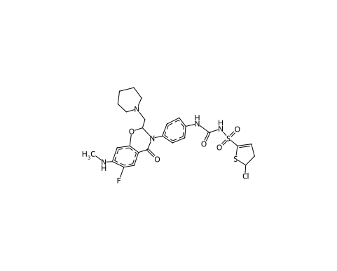 CNc1cc2c(cc1F)C(=O)N(c1ccc(NC(=O)NS(=O)(=O)C3=CCC(Cl)S3)cc1)C(CN1CCCCC1)O2